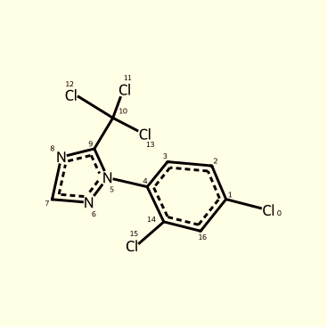 Clc1ccc(-n2ncnc2C(Cl)(Cl)Cl)c(Cl)c1